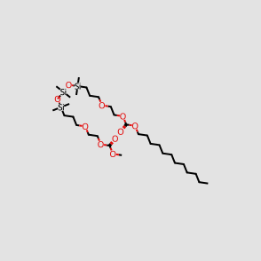 CCCCCCCCCCCCOC(=O)OCCOCCC[Si](C)(C)O[Si](C)(C)O[Si](C)(C)CCCOCCOC(=O)OC